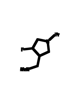 CNCC1CN(C(C)C)CC1F